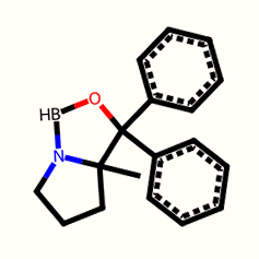 CC12CCCN1BOC2(c1ccccc1)c1ccccc1